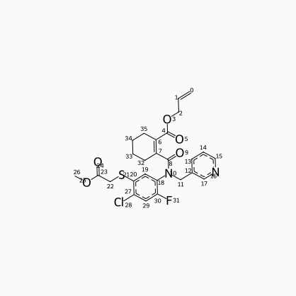 C=CCOC(=O)C1=C(C(=O)N(Cc2cccnc2)c2cc(SCC(=O)OC)c(Cl)cc2F)CCCC1